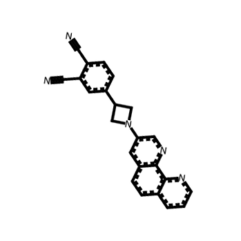 N#Cc1ccc(C2CN(c3cnc4c(ccc5cccnc54)c3)C2)cc1C#N